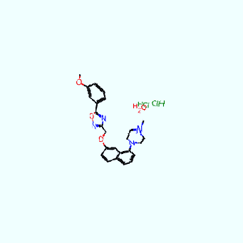 COc1cccc(-c2nc(COc3ccc4cccc(N5CCN(C)CC5)c4c3)no2)c1.Cl.Cl.O